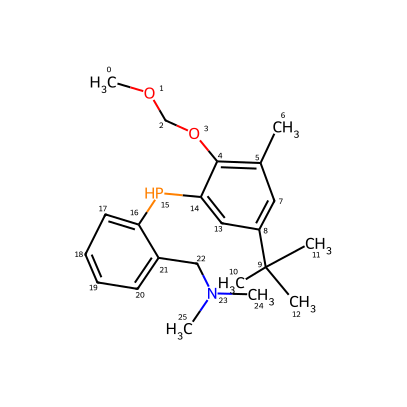 COCOc1c(C)cc(C(C)(C)C)cc1Pc1ccccc1CN(C)C